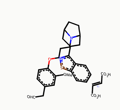 COc1cc(CC=O)ccc1OCCCN1C2CCC1CC(c1nsc3ccccc13)C2.O=C(O)/C=C/C(=O)O